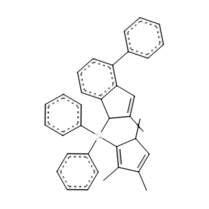 CC1=CC(C)C([Si](c2ccccc2)(c2ccccc2)C2C(C)=Cc3c(-c4ccccc4)cccc32)=C1C